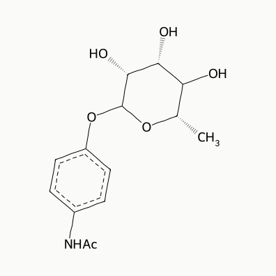 CC(=O)Nc1ccc(OC2O[C@@H](C)C(O)[C@@H](O)[C@H]2O)cc1